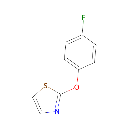 Fc1ccc(Oc2nccs2)cc1